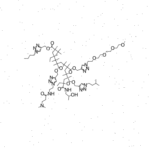 CCCCn1cc(COC(=O)C(C)(CC(C)(CC)C(C)(C)C(C)(CC(C)(C)C(C)(CC(C)(C)C(C)(CC(C)(CC)C(=O)NCC(C)O)C(=O)OCc2cn(CCC(C)C)nn2)C(=O)OCc2cn(CCOCCOCCOCCOC)nn2)C(=O)OCc2cn(CCNC(=O)CCN(C)C)nn2)C(C)(C)C)nn1